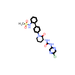 CS(=O)(=O)Nc1ccccc1-c1ccc(N2CCC[C@@H](NC(=O)Nc3cnc(Cl)cn3)C2=O)cc1